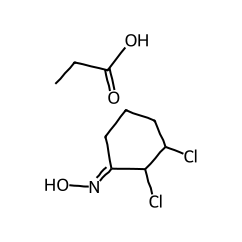 CCC(=O)O.ON=C1CCCC(Cl)C1Cl